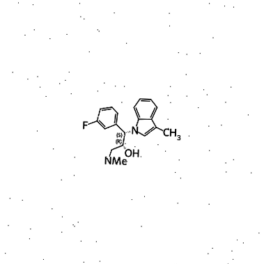 CNC[C@@H](O)[C@H](c1cccc(F)c1)n1cc(C)c2ccccc21